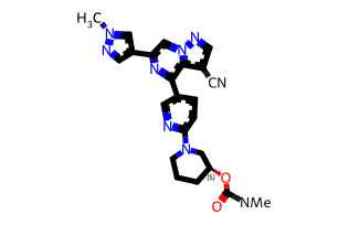 CNC(=O)O[C@H]1CCCN(c2ccc(-c3nc(-c4cnn(C)c4)cn4ncc(C#N)c34)cn2)C1